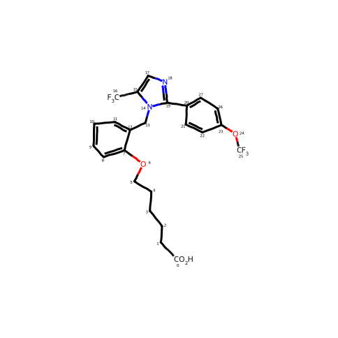 O=C(O)CCCCCOc1ccccc1Cn1c(C(F)(F)F)cnc1-c1ccc(OC(F)(F)F)cc1